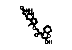 Cc1c(OCC(=O)N(CC(=O)O)C2CCCCC2)ccc2c1CN1CC(=O)NC1=N2